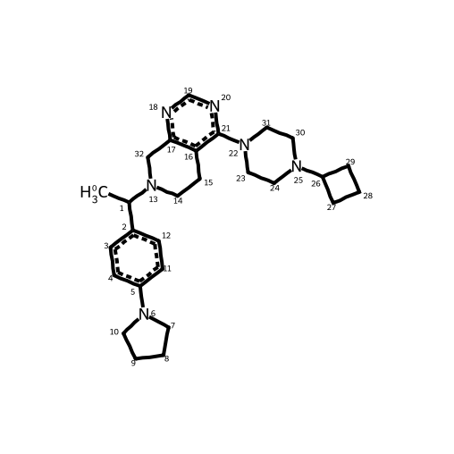 CC(c1ccc(N2CCCC2)cc1)N1CCc2c(ncnc2N2CCN(C3CCC3)CC2)C1